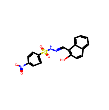 O=[N+]([O-])c1ccc(S(=O)(=O)N/N=C/c2c(O)ccc3ccccc23)cc1